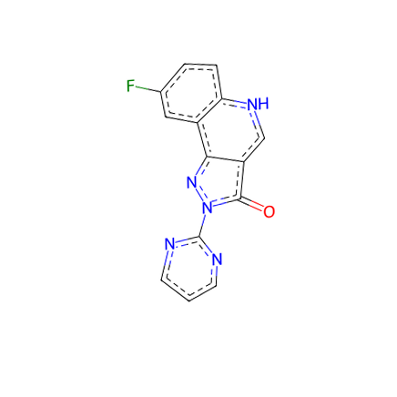 O=c1c2c[nH]c3ccc(F)cc3c-2nn1-c1ncccn1